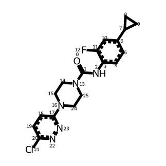 O=C(Nc1ccc(C2CC2)cc1F)N1CCN(c2ccc(Cl)nn2)CC1